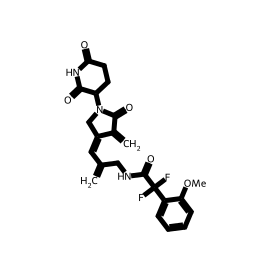 C=C(/C=C1/CN(C2CCC(=O)NC2=O)C(=O)C1=C)CNC(=O)C(F)(F)c1ccccc1OC